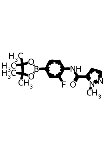 Cn1nccc1C(=O)Nc1ccc(B2OC(C)(C)C(C)(C)O2)cc1F